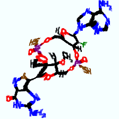 CO[C@H]1[C@H]2OP(=O)(S)OC[C@H]3O[C@@H](n4cnc5c(N)ncnc54)[C@H](F)[C@@H]3O[P@@](=O)(S)OC[C@H]1O[C@H]2c1snc2c(=O)[nH]c(N)nc12